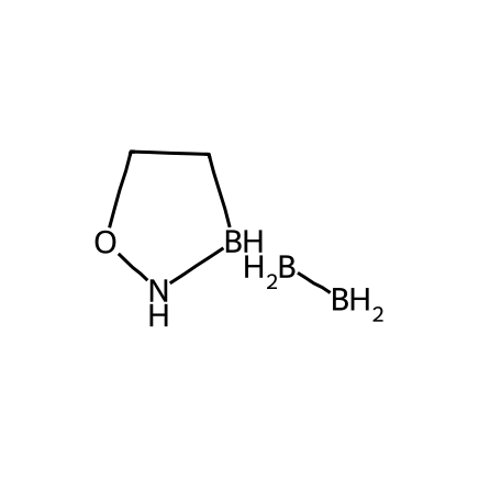 B1CCON1.BB